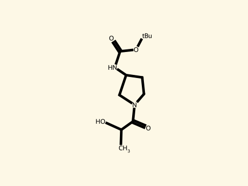 CC(O)C(=O)N1CCC(NC(=O)OC(C)(C)C)C1